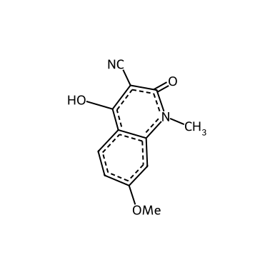 COc1ccc2c(O)c(C#N)c(=O)n(C)c2c1